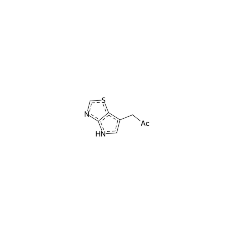 CC(=O)Cc1c[nH]c2ncsc12